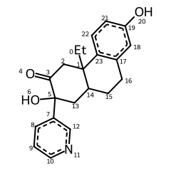 CCC12CC(=O)C(O)(c3cccnc3)CC1CCc1cc(O)ccc12